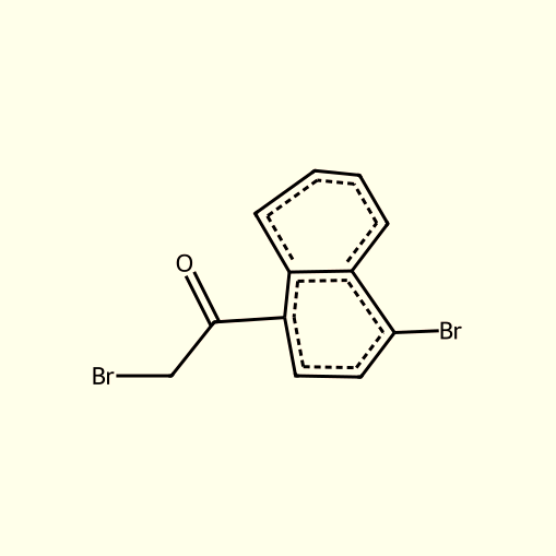 O=C(CBr)c1ccc(Br)c2ccccc12